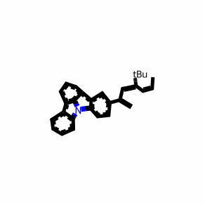 C=C(/C=C(\C=C/C)C(C)(C)C)c1ccc2c(c1)c1cccc3c4ccccc4n2c31